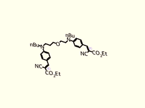 CCCCN(CCCOCCN(CCCC)c1ccc(/C=C(\C#N)C(=O)OCC)cc1)c1ccc(/C=C(\C#N)C(=O)OCC)cc1